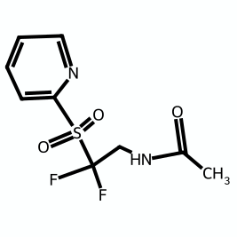 CC(=O)NCC(F)(F)S(=O)(=O)c1ccccn1